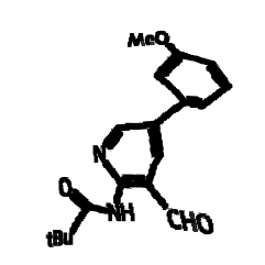 COc1cccc(-c2cnc(NC(=O)C(C)(C)C)c(C=O)c2)c1